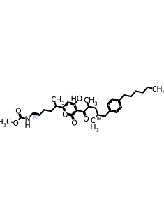 CCCCCCc1ccc(C[C@@H](C)CC(C)C(=O)c2c(O)cc(C(C)CC/C=C/NC(=O)OC)oc2=O)cc1